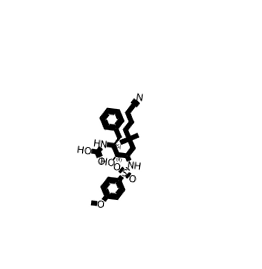 COc1ccc(S(=O)(=O)NC(CC(C)(C)CCCC#N)[C@H](O)[C@H](Cc2ccccc2)NC(=O)O)cc1